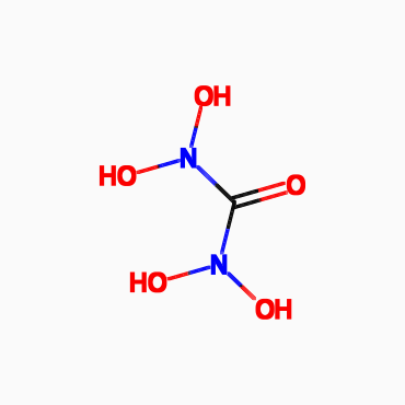 O=C(N(O)O)N(O)O